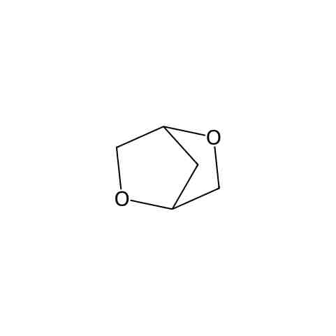 C1OC2COC1C2